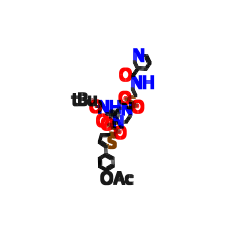 CC(=O)Oc1ccc(-c2ccc(S(=O)(=O)N3CCN(S(=O)(=O)CCNC(=O)c4cccnc4)C[C@@H]3C(=O)NOC(C)(C)C)s2)cc1